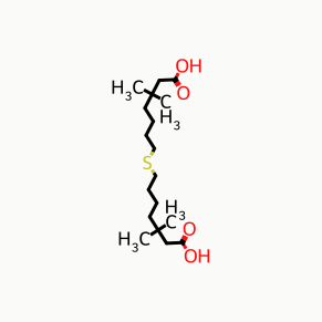 CC(C)(CCCCSCCCCC(C)(C)CC(=O)O)CC(=O)O